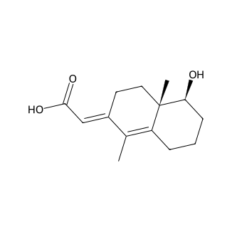 CC1=C2CCC[C@H](O)[C@@]2(C)CC/C1=C\C(=O)O